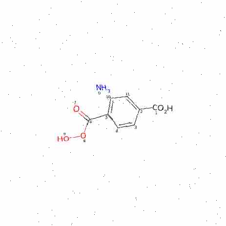 N.O=C(O)c1ccc(C(=O)OO)cc1